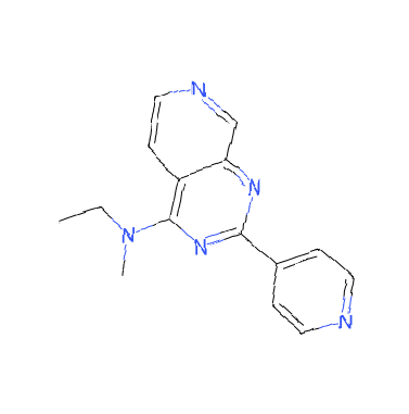 CCN(C)c1nc(-c2ccncc2)nc2cnccc12